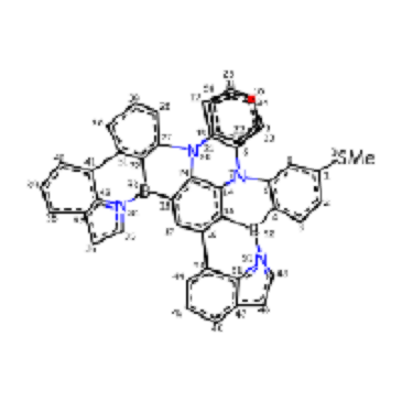 CSc1ccc2c(c1)N(c1ccccc1)c1c3c(cc4c1N(c1ccccc1)c1cccc5c1B4n1ccc4cccc-5c41)-c1cccc4ccn(c14)B23